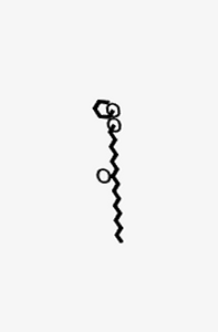 CCCCCCCCCC(=O)CCCCCCOC1CCCCO1